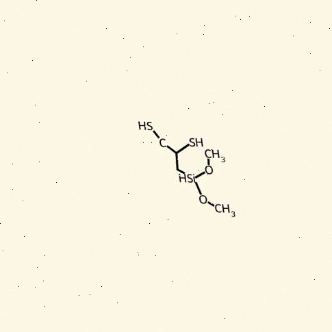 CO[SiH](CC(S)CS)OC